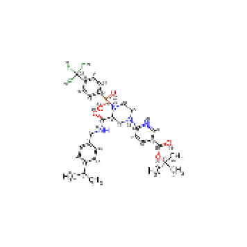 CC(C)c1ccc(CNC(=O)C2CN(c3ccc(C(=O)OC(C)(C)C)cn3)CCN2S(=O)(=O)c2ccc(C(F)(F)F)cc2)cc1